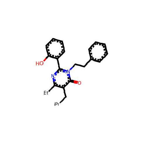 CCc1nc(-c2ccccc2O)n(CCc2ccccc2)c(=O)c1CC(C)C